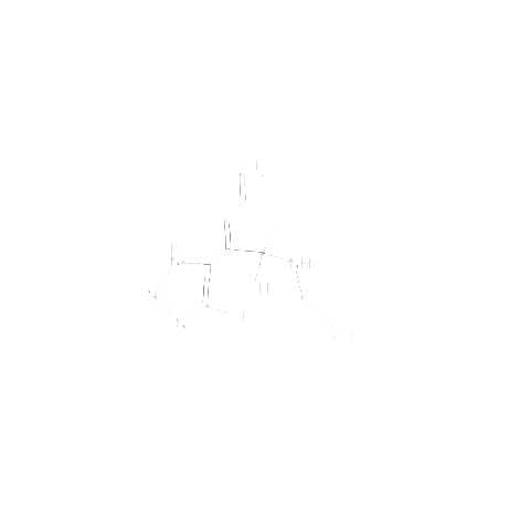 C=C/C=C(/c1[nH]nnc1C)C(C)(C)NCC=C